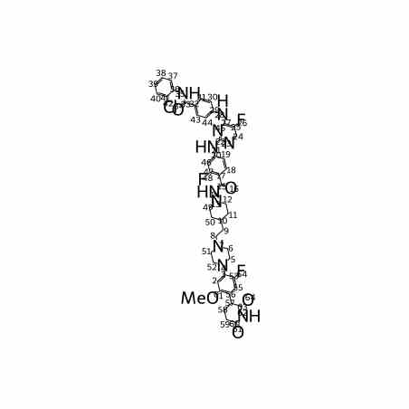 COc1cc(N2CCN(CCC3CCN(NC(=O)c4ccc(Nc5ncc(F)c(Nc6ccc(C(=O)Nc7ccccc7Cl)cc6)n5)cc4F)CC3)CC2)c(F)cc1C1CCC(=O)NC1=O